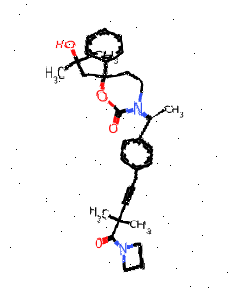 C[C@@H](c1ccc(C#CC(C)(C)C(=O)N2CCC2)cc1)N1CCC(CC(C)(C)O)(c2ccccc2)OC1=O